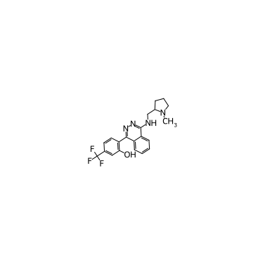 CN1CCCC1CNc1nnc(-c2ccc(C(F)(F)F)cc2O)c2ccccc12